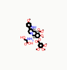 COC(=O)[C@H]1[C@H]2C[C@@H]3c4[nH]c5cc(OC)ccc5c4CCN3C[C@H]2C[C@@H](OC(=O)c2cc(OC)c(OC)c(OC)c2)[C@@H]1OC.NC(CO)C(=O)O